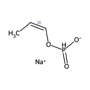 C/C=C\O[PH](=O)[O-].[Na+]